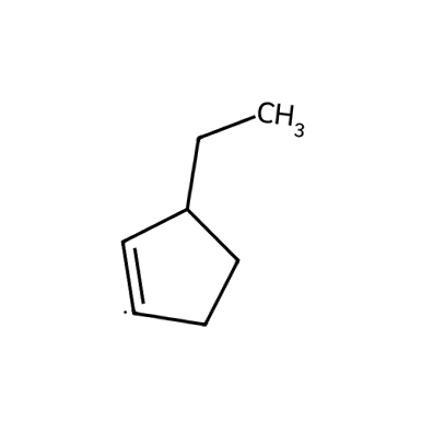 CCC1C=[C]CC1